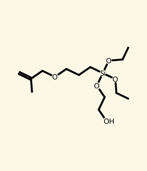 C=C(C)COCCC[Si](OCC)(OCC)OCCO